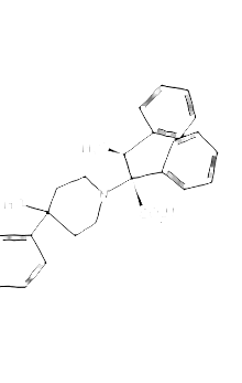 C[C@@H](c1ccccc1)[C@](C(=O)O)(c1ccccc1)N1CCC(O)(c2ccccc2)CC1